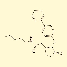 CCCCCNC(=O)CC1CCC(=O)N1Cc1ccc(-c2ccccc2)cc1